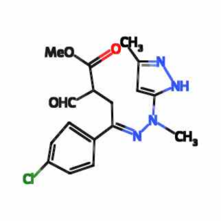 COC(=O)C(C=O)C/C(=N\N(C)c1cc(C)n[nH]1)c1ccc(Cl)cc1